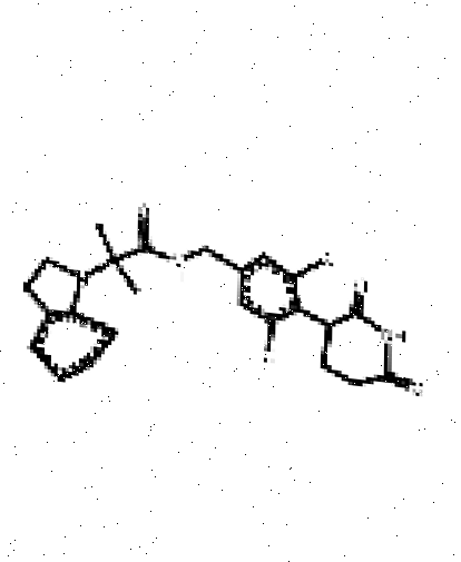 CC(C)(C(=O)NCc1cc(Cl)c(C2CCC(=O)NC2=O)c(Cl)c1)N1CCc2ccccc21